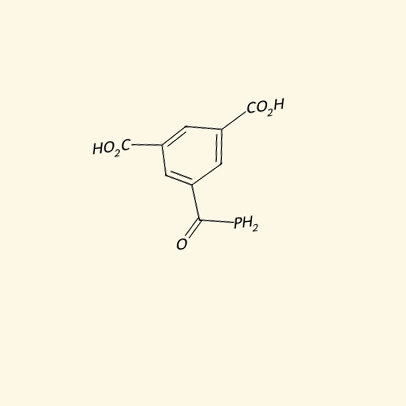 O=C(O)c1cc(C(=O)O)cc(C(=O)P)c1